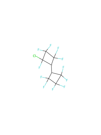 FC1(F)[C](C2C(F)(F)C(F)(F)C2(F)F)C(F)(Cl)C1(F)F